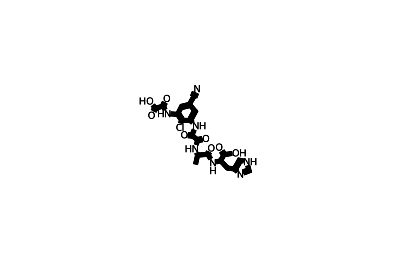 CC(NC(=O)C(=O)Nc1cc(C#N)cc(NC(=O)C(=O)O)c1Cl)C(=O)NC(Cc1c[nH]cn1)C(=O)O